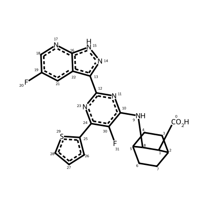 O=C(O)C1C2CCC(CC2)C1Nc1nc(-c2n[nH]c3ncc(F)cc23)nc(-c2cccs2)c1F